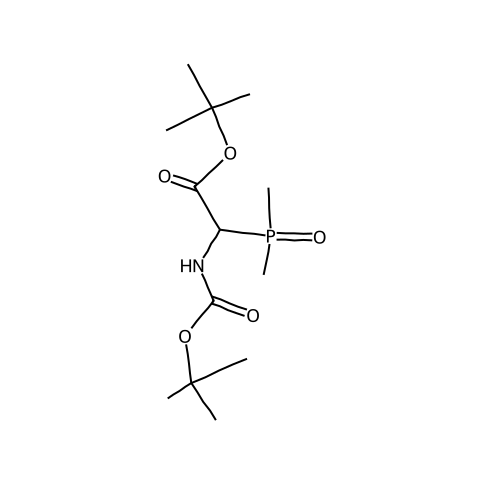 CC(C)(C)OC(=O)NC(C(=O)OC(C)(C)C)P(C)(C)=O